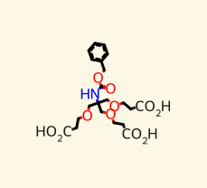 O=C(O)CCOCC(COCCC(=O)O)(COCCC(=O)O)NC(=O)OCc1ccccc1